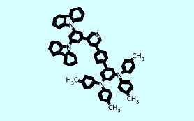 Cc1ccc(N(c2ccc(C)cc2)c2cc(-c3ccc(-c4cncc(-c5cc(-n6c7ccccc7c7ccccc76)cc(-n6c7ccccc7c7ccccc76)c5)c4)cc3)cc(N(c3ccc(C)cc3)c3ccc(C)cc3)c2)cc1